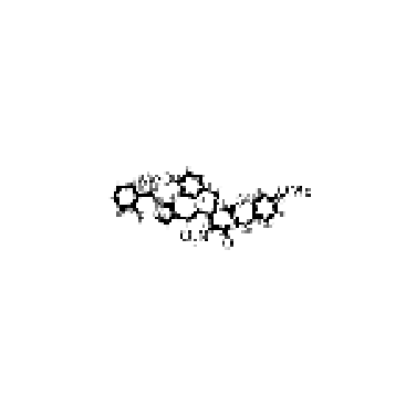 COc1ccc(Cn2c(/C=C/c3cnn(Cc4ccccc4F)c3)c([N+](=O)[O-])c(=O)n(Cc3ccc(OC)cc3)c2=O)cc1